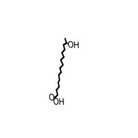 CC(O)CCCCCCCCCCCCCCC(=O)O